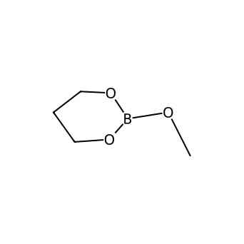 COB1OCCCO1